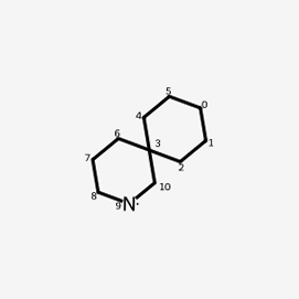 C1CCC2(CC1)CCC[N]C2